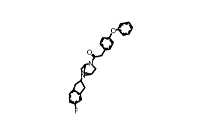 O=C(Cc1ccc(Oc2ccccc2)cc1)N1CC2CC1CN2C1Cc2ccc(F)cc2C1